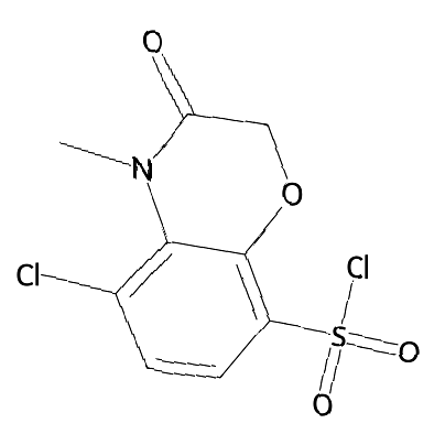 CN1C(=O)COc2c(S(=O)(=O)Cl)ccc(Cl)c21